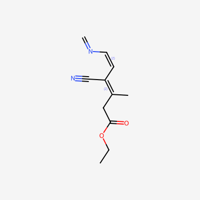 C=N/C=C\C(C#N)=C(/C)CC(=O)OCC